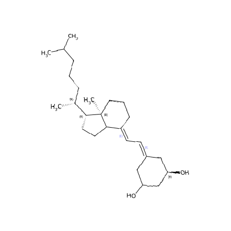 CC(C)CCC[C@@H](C)[C@H]1CCC2/C(=C/C=C3\CC(O)C[C@H](O)C3)CCC[C@@]21C